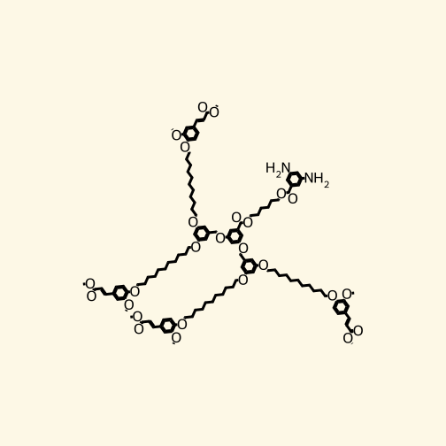 COC(=O)C=Cc1ccc(OCCCCCCCCCCCOc2cc(COc3cc(OCc4cc(OCCCCCCCCCCCOc5ccc(C=CC(=O)OC)cc5OC)cc(OCCCCCCCCCCCOc5ccc(C=CC(=O)OC)cc5OC)c4)cc(C(=O)OCCCCCCOC(=O)c4cc(N)cc(N)c4)c3)cc(OCCCCCCCCCCCOc3ccc(C=CC(=O)OC)cc3OC)c2)c(OC)c1